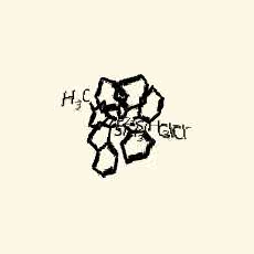 CC1=CC[C]([Zr+2]([SiH3])([SiH3])([c]2ccccc2)([c]2ccccc2)([c]2ccccc2)([c]2ccccc2)[CH]2C=Cc3ccccc32)=C1.[Cl-].[Cl-]